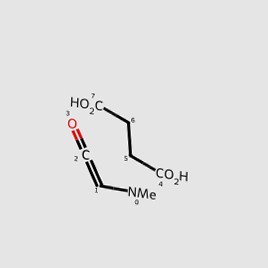 CNC=C=O.O=C(O)CCC(=O)O